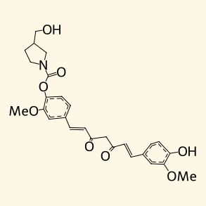 COc1cc(C=CC(=O)CC(=O)C=Cc2ccc(OC(=O)N3CCC(CO)C3)c(OC)c2)ccc1O